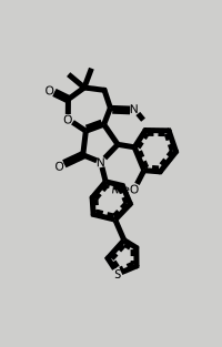 C/N=C1/CC(C)(C)C(=O)OC2=C1C(c1ccccc1OC)N(c1ccc(-c3ccsc3)cc1)C2=O